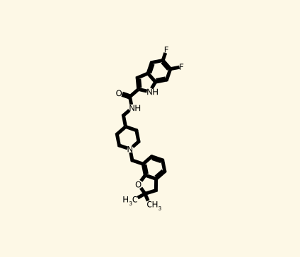 CC1(C)Cc2cccc(CN3CCC(CNC(=O)c4cc5cc(F)c(F)cc5[nH]4)CC3)c2O1